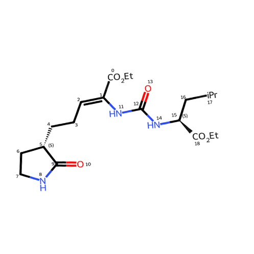 CCOC(=O)C(=CCC[C@H]1CCNC1=O)NC(=O)N[C@@H](CC(C)C)C(=O)OCC